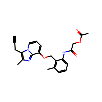 C#CCc1c(C)nc2c(OCc3c(C)cccc3NC(=O)COC(C)=O)cccn12